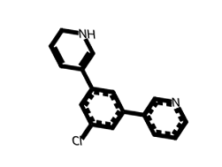 Clc1cc(C2=CNCC=C2)cc(-c2cccnc2)c1